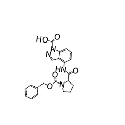 O=C(Nc1cccc2c1cnn2C(=O)O)[C@H]1CCCN1C(=O)OCc1ccccc1